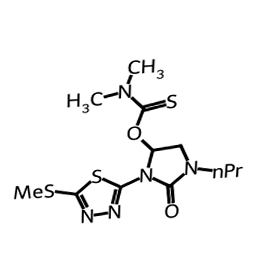 CCCN1CC(OC(=S)N(C)C)N(c2nnc(SC)s2)C1=O